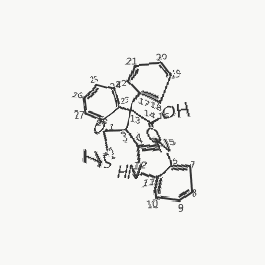 O=C(S)C(c1nc2ccccc2[nH]1)C(C(=O)O)(c1ccccc1)c1ccccc1